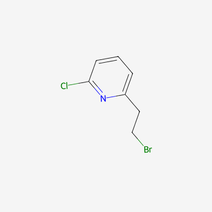 Clc1cccc(CCBr)n1